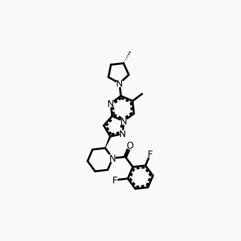 Cc1cn2nc([C@@H]3CCCCN3C(=O)c3c(F)cccc3F)cc2nc1N1CC[C@H](C)C1